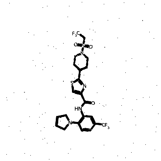 O=C(Nc1cc(C(F)(F)F)ccc1N1CCCC1)c1csc(C2CCN(S(=O)(=O)CC(F)(F)F)CC2)n1